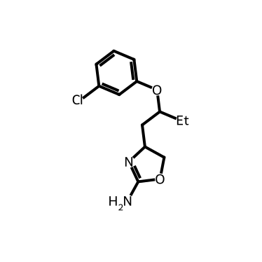 CCC(CC1COC(N)=N1)Oc1cccc(Cl)c1